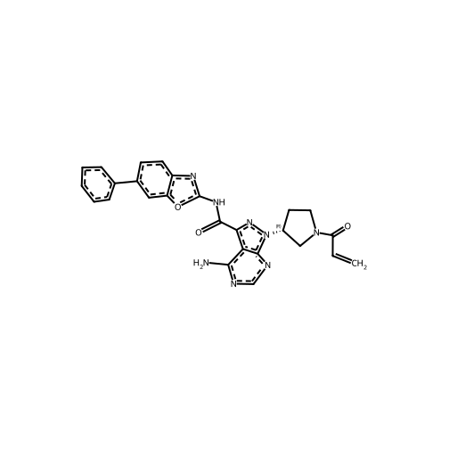 C=CC(=O)N1CC[C@@H](n2nc(C(=O)Nc3nc4ccc(-c5ccccc5)cc4o3)c3c(N)ncnc32)C1